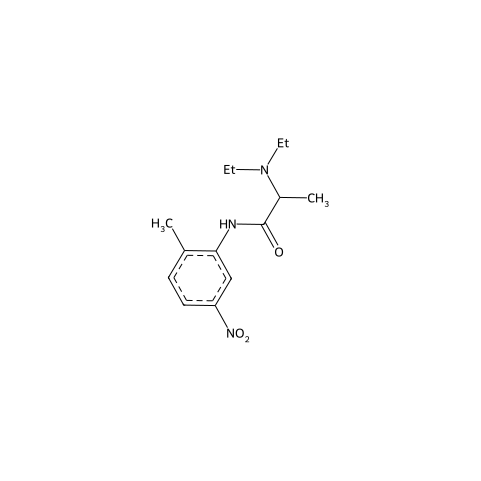 CCN(CC)C(C)C(=O)Nc1cc([N+](=O)[O-])ccc1C